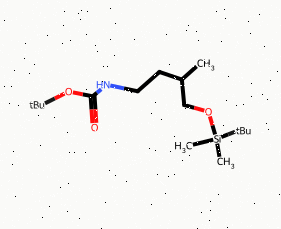 CC(CCNC(=O)OC(C)(C)C)CO[Si](C)(C)C(C)(C)C